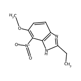 CCc1nc2ccc(OC)c([N+](=O)[O-])c2[nH]1